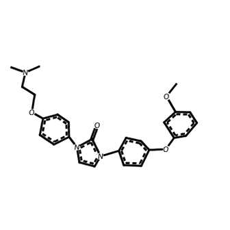 COc1cccc(Oc2ccc(-n3ccn(-c4ccc(OCCN(C)C)cc4)c3=O)cc2)c1